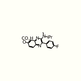 CC(C)N(C)c1nc2cc(OC(=O)O)ccc2nc1-c1ccc(F)cc1